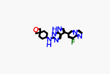 Fc1cc(-c2c[nH]c3nc(NC4CCC5(CC4)COC5)ncc23)cn2ccnc12